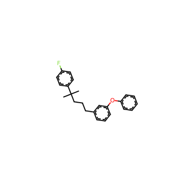 CC(C)(CCCc1cccc(Oc2ccccc2)c1)c1ccc(F)cc1